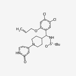 C=CCOc1cc(Cl)c(Cl)cc1C(N[S@@+]([O-])C(C)(C)C)C1CCN(c2cc[nH]c(=O)c2)CC1